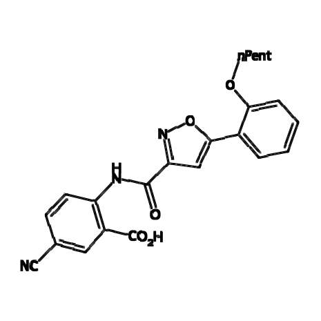 CCCCCOc1ccccc1-c1cc(C(=O)Nc2ccc(C#N)cc2C(=O)O)no1